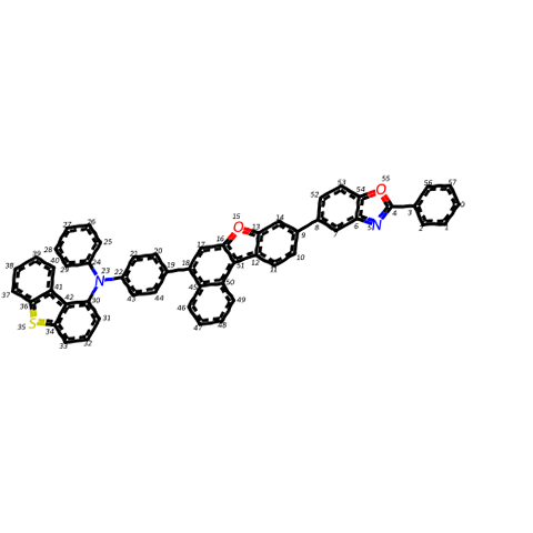 c1ccc(-c2nc3cc(-c4ccc5c(c4)oc4cc(-c6ccc(N(c7ccccc7)c7cccc8sc9ccccc9c78)cc6)c6ccccc6c45)ccc3o2)cc1